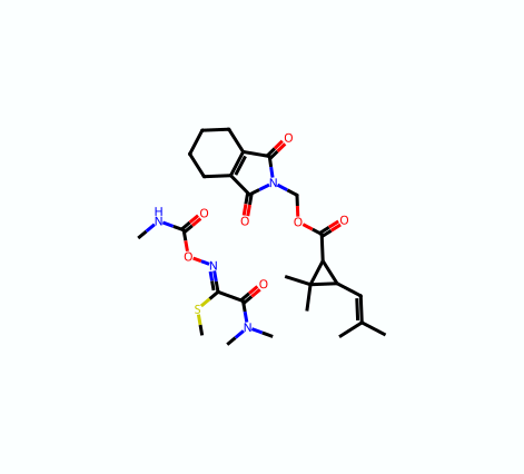 CC(C)=CC1C(C(=O)OCN2C(=O)C3=C(CCCC3)C2=O)C1(C)C.CNC(=O)ON=C(SC)C(=O)N(C)C